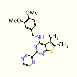 COc1ccc(CNc2nc(-c3cnccn3)nc3sc(C)c(C)c23)cc1OC